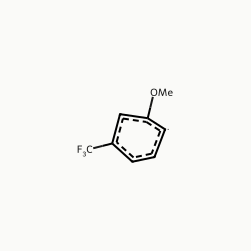 COc1[c]ccc(C(F)(F)F)c1